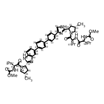 COC(=O)N[C@H](C(=O)N[C@H](C(=O)N1C[C@@H](C)CC1c1nc(-c2ccc(-c3ccc(-c4ccc5[nH]c([C@@H]6C[C@H](C)CN6C(=O)[C@@H](NC(=O)OC)C(C)C)nc5c4)cc3)cc2)c[nH]1)C(C)C)C(C)C